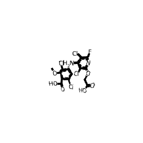 COc1c(Cl)ccc(Cl)c1C(=O)O.Nc1c(Cl)c(F)nc(OCC(=O)O)c1Cl